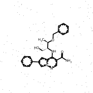 C[C@@H](OCc1ccccc1)[C@@H](CO)Nc1c(C(N)=O)cnn2cc(-c3ccccc3)cc12